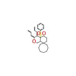 C=C/C=C1/OCC2C3(CCCCCCC3)CCCC2(S(=O)(=O)c2ccccc2)/C1=C/C=C